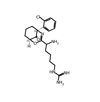 N=C(N)NCCCCC(N)C1=N[C@]2(c3ccccc3Cl)CCC[C@H](O1)C2=O